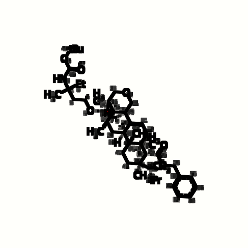 CCC(C)(CCO[C@H]1[C@H](C)C[C@@]23COC[C@@]1(C)[C@@H]2CC[C@H]1C3=CC[C@@]2(C)[C@H](C(=O)OCc3ccccc3)[C@@](C)([C@H](C)C(C)C)CC[C@]12C)NC(=O)OC(C)(C)C